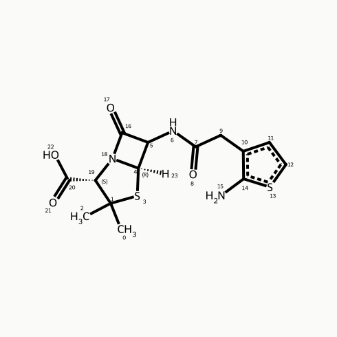 CC1(C)S[C@@H]2C(NC(=O)Cc3ccsc3N)C(=O)N2[C@H]1C(=O)O